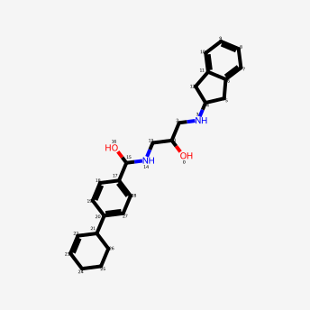 OC(CNC1Cc2ccccc2C1)CNC(O)c1ccc(C2C=CCCC2)cc1